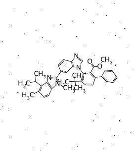 COC(=O)c1c(-c2ccccc2)ccc(C(C)(C)C)c1-n1cnc2ccc(-c3nc4c(C(C)C)c(C)ccc4n3C)cc21